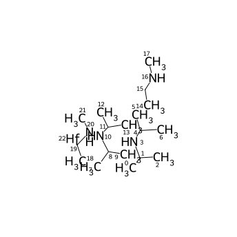 CC(C)NC(C)C.CC(C)NC(C)C.CCNC.CCNC.[Hf]